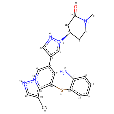 CN1CC[C@@H](n2cc(-c3cc(Sc4ccccc4N)c4c(C#N)cnn4c3)cn2)CC1=O